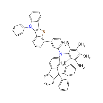 Bc1c(B)c(B)c(N(c2cccc(-c3cccc4c3sc3c5ccccc5n(-c5ccccc5)c43)c2)c2ccc3c(c2)C(c2ccccc2)(c2ccccc2)c2ccccc2-3)c(B)c1B